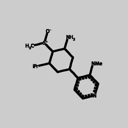 CNc1cnccc1C1CC(N)C([S+](C)[O-])C(C(C)C)C1